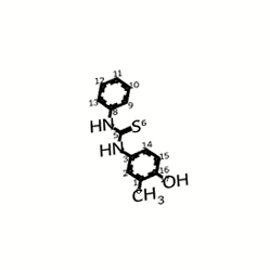 Cc1cc(NC(=S)Nc2ccccc2)ccc1O